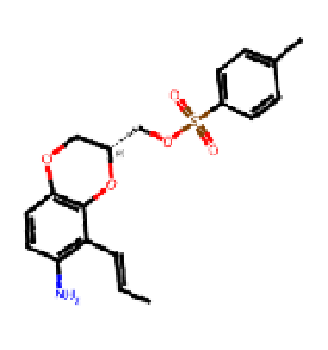 CC=Cc1c(N)ccc2c1O[C@@H](COS(=O)(=O)c1ccc(C)cc1)CO2